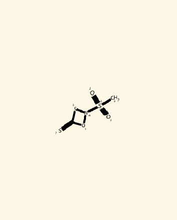 CS(=O)(=O)n1oc(=S)s1